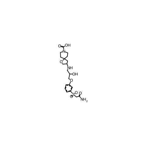 NC(=O)CS(=O)(=O)c1cccc(OCC(O)CNC2COC3(CCN(C(=O)O)CC3)C2)c1